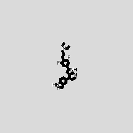 CCN(CC)CCCc1c(F)cc(-c2cc3c(-c4ccc5[nH]ncc5c4)ccnc3[nH]2)cc1F